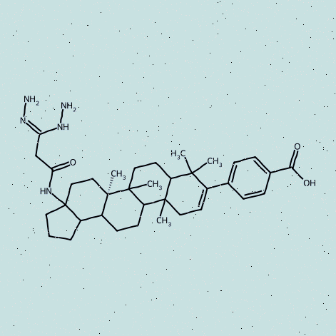 CC1(C)C(c2ccc(C(=O)O)cc2)=CCC2(C)C1CCC1(C)C2CCC2C3CCCC3(NC(=O)C/C(=N/N)NN)CC[C@]21C